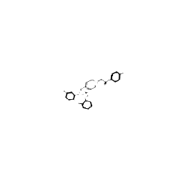 Cl.O=C(CN1CCC(CN2c3cc(Cl)ccc3Oc3ccccc3S2(=O)=O)CC1)c1ccc(F)cc1